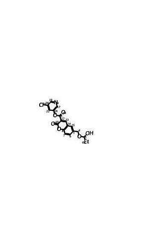 CCC(O)OCc1ccc2oc(=O)c(C(=O)Oc3cncc(Cl)c3)cc2c1